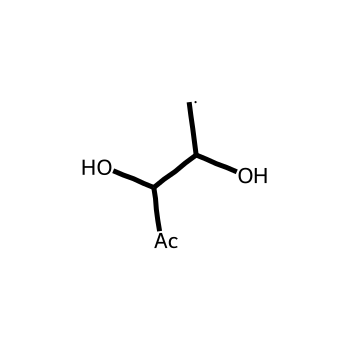 [CH2]C(O)C(O)C(C)=O